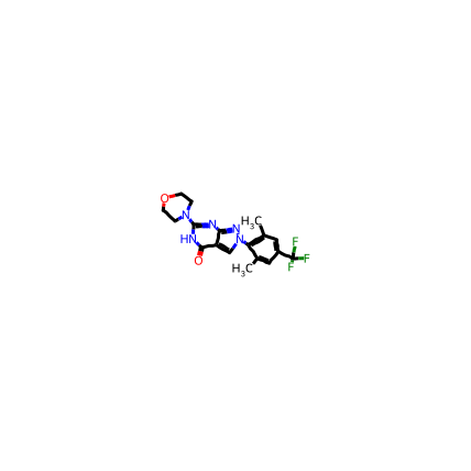 Cc1cc(C(F)(F)F)cc(C)c1-n1cc2c(=O)[nH]c(N3CCOCC3)nc2n1